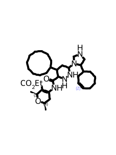 CCOC(=O)C1=C(NC(=O)C2NNC(N3CNCC3C3C/C=C\CCCC3)CC2C2CCCCCCCCCC2)C[C@@H](C)O[C@H]1C